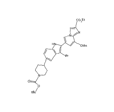 CCOC(=O)c1cn2cc(-c3[nH]c4ccc(C5CCN(C(=O)OC(C)(C)C)CC5)cc4c3C(C)C)cc(OC)c2n1